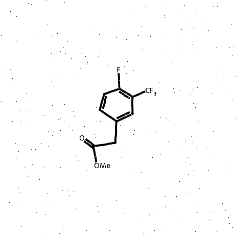 COC(=O)Cc1ccc(F)c(C(F)(F)F)c1